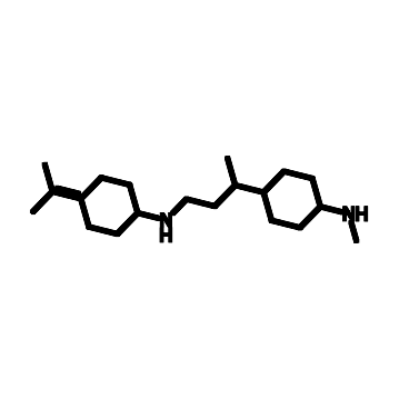 CNC1CCC(C(C)CCNC2CCC(=C(C)C)CC2)CC1